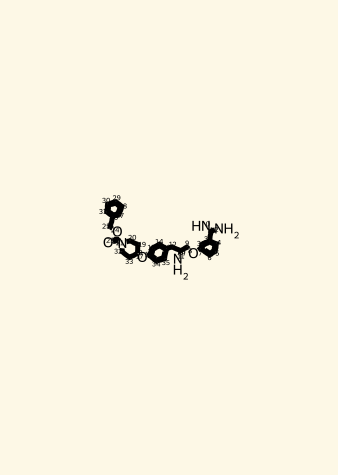 N=C(N)c1cccc(OC[C@@H](N)Cc2ccc(OC3CCN(C(=O)OCc4ccccc4)CC3)cc2)c1